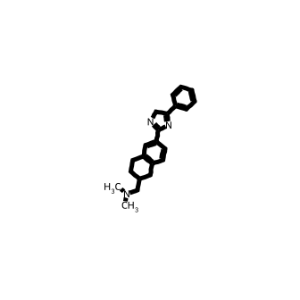 CN(C)CC1CCc2cc(C3=NCC(c4ccccc4)=N3)ccc2C1